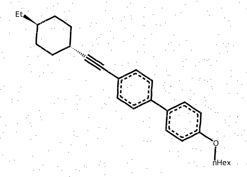 CCCCCCOc1ccc(-c2ccc(C#C[C@H]3CC[C@H](CC)CC3)cc2)cc1